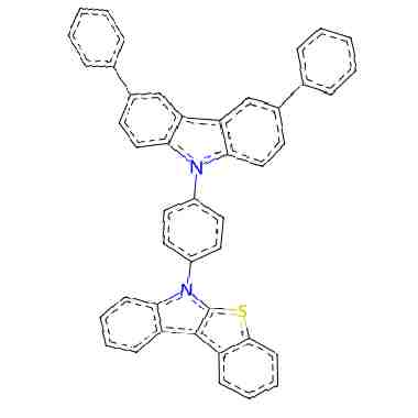 c1ccc(-c2ccc3c(c2)c2cc(-c4ccccc4)ccc2n3-c2ccc(-n3c4ccccc4c4c5ccccc5sc43)cc2)cc1